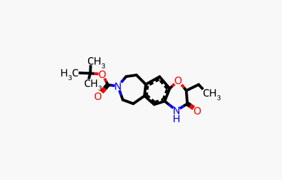 CCC1Oc2cc3c(cc2NC1=O)CCN(C(=O)OC(C)(C)C)CC3